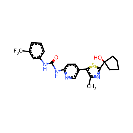 Cc1nc(C2(O)CCCC2)sc1-c1ccc(NC(=O)Nc2cccc(C(F)(F)F)c2)nc1